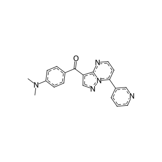 CN(C)c1ccc(C(=O)c2cnn3c(-c4cccnc4)ccnc23)cc1